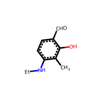 CCNc1ccc(C=O)c(O)c1C